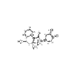 CC1CC(C)(C)N(C(=O)Nc2ccc(Cl)c(Cl)c2)c2ccccc21